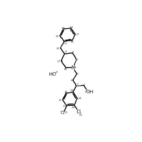 Cl.OCC(CCN1CCC(Cc2ccccc2)CC1)c1ccc(Cl)c(Cl)c1